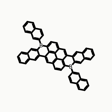 c1ccc2cc(B3c4cc5ccccc5cc4-c4cc5ccc6c7c(cc8ccc3c4c8c57)-c3cc4ccccc4cc3B6c3ccc4ccccc4c3)ccc2c1